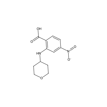 O=C(O)c1ccc([N+](=O)[O-])cc1NC1CCOCC1